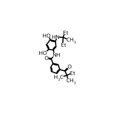 CCC(C)(CC)Nc1cc(NC(=O)c2cccc(C(=O)C(C)(C)CC)c2)c(O)cc1O